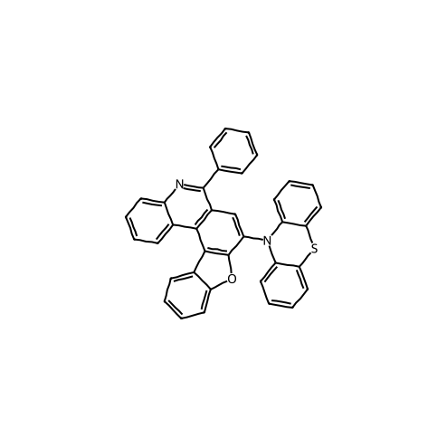 c1ccc(-c2nc3ccccc3c3c2cc(N2c4ccccc4Sc4ccccc42)c2oc4ccccc4c23)cc1